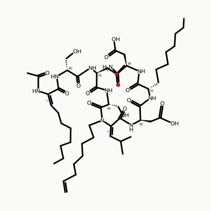 C=CCCCCCCN(C(=O)[C@@H](CO)NC(=O)[C@H](CC(C)C)NC(=O)[C@@H](CO)NC(=O)/C(=C\CCCCCCC)NC(C)=O)/C(=C/C(C)C)C(=O)N[C@H](CC(=O)O)C(=O)N[C@@H](CCCCCCCC)C(=O)N[C@H](CC(=O)O)C(N)=O